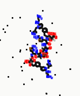 CC1(C)[C@H](NC(=O)/C(=N\O[C@](C)(C(=O)O)[C@H]2CCc3cc(-c4ccc(NCCN)[n+](CC5CNC5)c4)ccc3O2)c2csc(N)n2)C(=O)N1OS(=O)(=O)ON1C(=O)[C@@H](NC(=O)/C(=N\O[C@](C)(C(=O)O)[C@H]2CCc3cc(-c4ccc(NCCN)[n+](CC5CNC5)c4)ccc3O2)c2csc(N)n2)C1(C)C